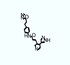 O=C(C=Cc1cnccc1-c1cn[nH]c1)Nc1ccc(CCc2nnco2)cc1